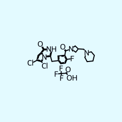 O=C(O)C(F)(F)F.O=C(c1cc(Cc2c[nH]c(=O)c3cc(Cl)c(Cl)n23)ccc1F)N1CC(CN2CCCCC2)C1